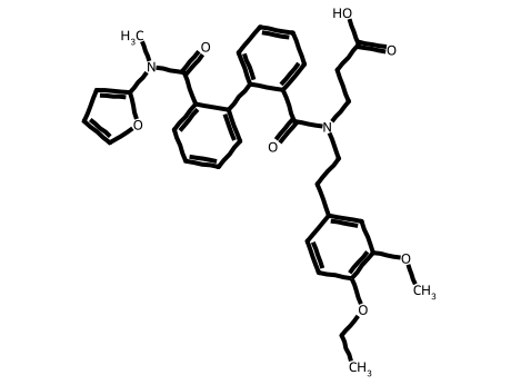 CCOc1ccc(CCN(CCC(=O)O)C(=O)c2ccccc2-c2ccccc2C(=O)N(C)c2ccco2)cc1OC